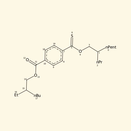 CCCCCC(CCC)COC(=S)c1ccc(C(=O)OCC(CC)CCCC)cc1